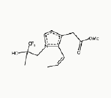 C/C=C\c1c(CC(=O)OC)ccn1CC(C)(O)C(F)(F)F